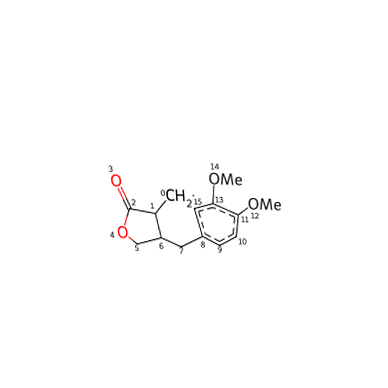 [CH2]C1C(=O)OCC1Cc1ccc(OC)c(OC)c1